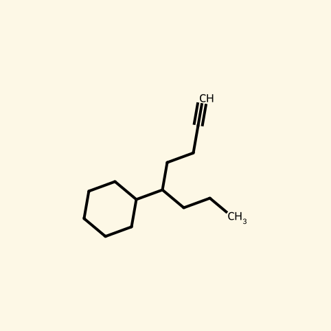 C#CCCC(CCC)C1CCCCC1